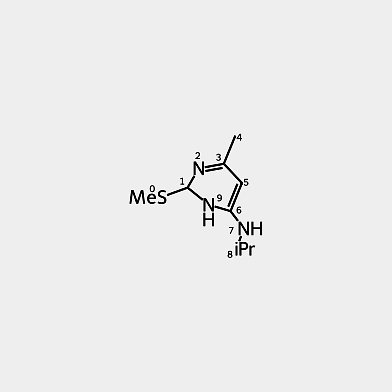 CSC1N=C(C)C=C(NC(C)C)N1